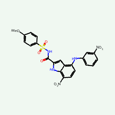 COc1ccc(S(=O)(=O)NC(=O)c2cc3c(Nc4cccc([N+](=O)[O-])c4)ccc([N+](=O)[O-])c3[nH]2)cc1